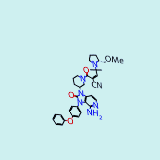 COC[C@H]1CCCN1C(C)(C)/C=C(/C#N)C(=O)N1CCC[C@@H](n2c(=O)n(-c3ccc(Oc4ccccc4)cc3)c3c(N)nccc32)C1